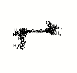 Cc1ncsc1-c1ccc(CNC(=O)[C@@H]2C[C@@H](O)CN2C(=O)[C@@H](NC(=O)COCCOCCOCCOCCNC(=O)C[C@@H]2N=C(c3ccc(Cl)cc3)c3c(sc(C)c3C)-n3c(C)nnc32)C(C)(C)C)cc1